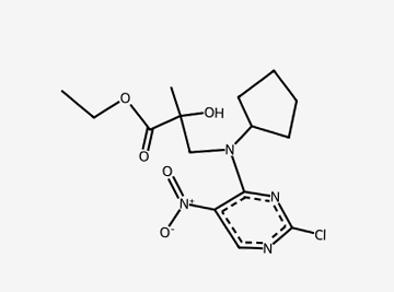 CCOC(=O)C(C)(O)CN(c1nc(Cl)ncc1[N+](=O)[O-])C1CCCC1